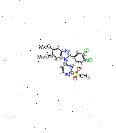 COc1cc2nc(-c3ccc(Cl)c(Cl)c3)n(-c3ccnc(S(C)(=O)=O)n3)c2cc1OC